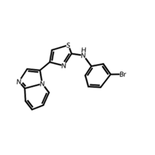 Brc1cccc(Nc2nc(-c3cnc4ccccn34)cs2)c1